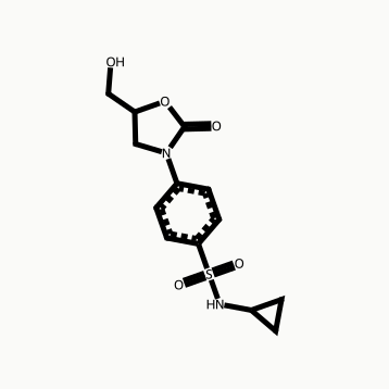 O=C1OC(CO)CN1c1ccc(S(=O)(=O)NC2CC2)cc1